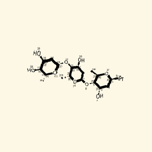 CC(C)[C@H]1C[C@H](O)[C@H](OC2C[C@H](O)[C@H](O[C@H]3C[C@H](O)[C@H](O)[C@@H](C)O3)[C@@H](C)O2)[C@@H](C)O1